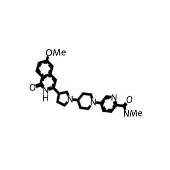 CNC(=O)c1ccc(N2CCC(N3CCC(c4cc5cc(OC)ccc5c(=O)[nH]4)C3)CC2)cn1